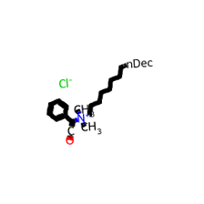 CCCCCCCCCCCCCCCCCC[N+](C)(C)C(=C=O)c1ccccc1.[Cl-]